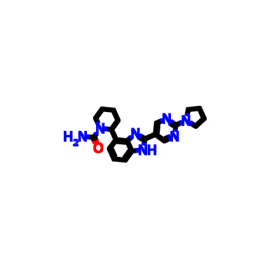 NC(=O)N1CCCCC1c1cccc2[nH]c(-c3cnc(N4CCCC4)nc3)nc12